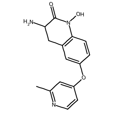 Cc1cc(Oc2ccc3c(c2)CC(N)C(=O)N3O)ccn1